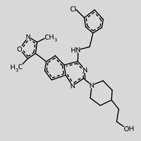 Cc1noc(C)c1-c1ccc2nc(N3CCC(CCO)CC3)nc(NCc3cccc(Cl)c3)c2c1